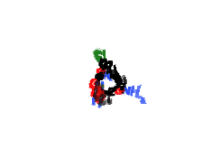 CC[C@@H]1CC/C=C/[C@H](CC(N)=O)[C@@H]2CC[C@H]2CN2C[C@@]3(CCCc4cc(Cl)ccc43)COc3ccc(cc32)C(=O)NS1(=O)=O